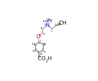 C#CCN(CCOc1ccc(C(=O)O)cc1)C(C)C